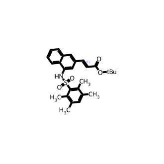 Cc1cc(C)c(C)c(S(=O)(=O)Nc2cc(/C=C/C(=O)OC(C)(C)C)cc3ccccc23)c1C